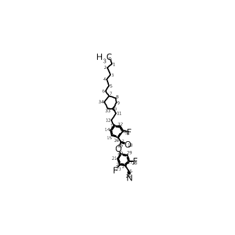 CCCCCCCC1CCC(CCc2ccc(C(=O)Oc3cc(F)c(C#N)c(F)c3)c(F)c2)CC1